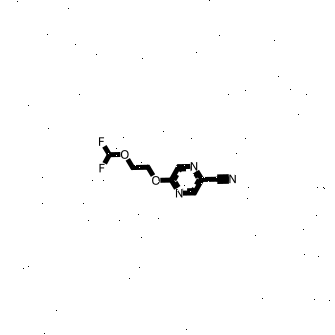 N#Cc1cnc(OCCOC(F)F)cn1